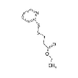 CCOC(=O)CCSSc1ccccn1